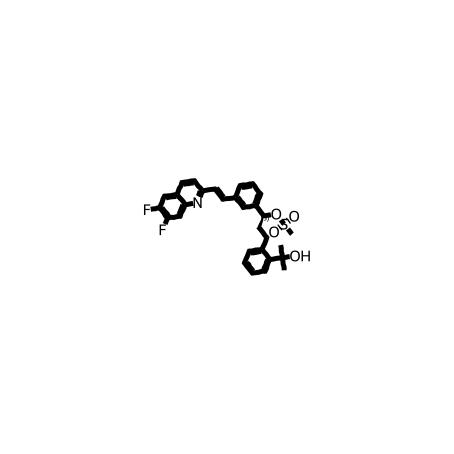 CC(C)(O)c1ccccc1CC[C@H](OS(C)(=O)=O)c1cccc(C=Cc2ccc3cc(F)c(F)cc3n2)c1